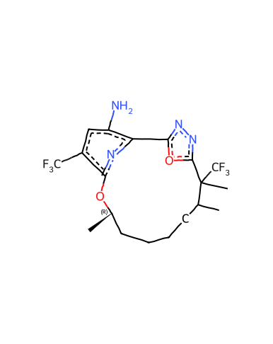 CC1CCCC[C@@H](C)Oc2nc(c(N)cc2C(F)(F)F)-c2nnc(o2)C1(C)C(F)(F)F